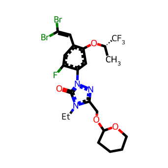 CCn1c(COC2CCCCO2)nn(-c2cc(O[C@@H](C)C(F)(F)F)c(C=C(Br)Br)cc2F)c1=O